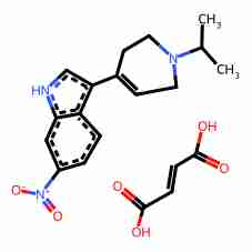 CC(C)N1CC=C(c2c[nH]c3cc([N+](=O)[O-])ccc23)CC1.O=C(O)C=CC(=O)O